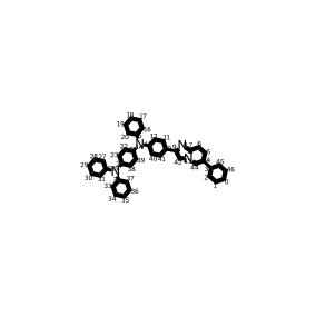 c1ccc(-c2ccc3nc(-c4ccc(N(c5ccccc5)c5ccc(N(c6ccccc6)c6ccccc6)cc5)cc4)cn3c2)cc1